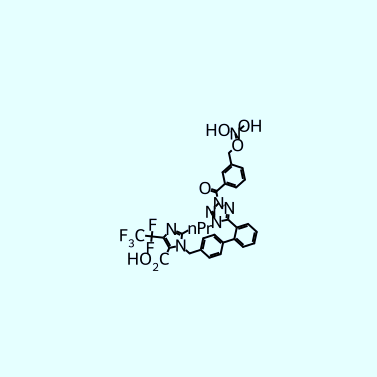 CCCc1nc(C(F)(F)C(F)(F)F)c(C(=O)O)n1Cc1ccc(-c2ccccc2-c2nnn(C(=O)c3cccc(CON(O)O)c3)n2)cc1